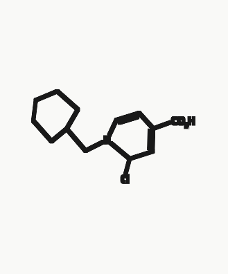 O=C(O)C1=CC(Cl)N(CC2CCCCC2)C=C1